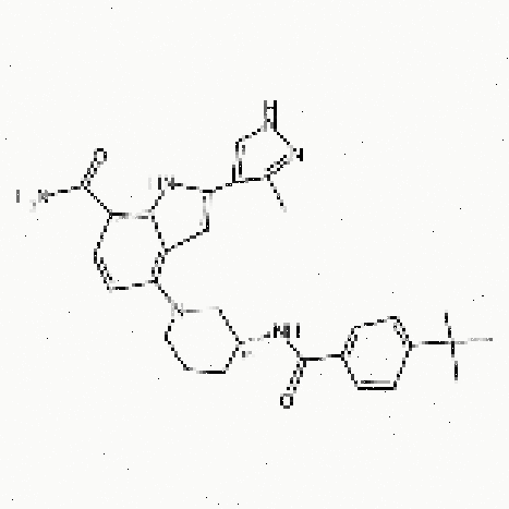 Cc1n[nH]cc1-c1cc2c(N3CCC[C@@H](NC(=O)c4ccc(C(C)(C)C)cc4)C3)ccc(C(N)=O)c2[nH]1